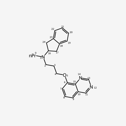 CCCN(CCCOc1cccc2cncnc12)C1Cc2ccccc2C1